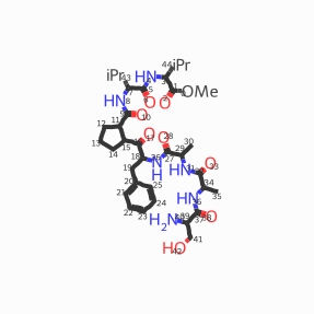 COC(=O)C(NC(=O)C(NC(=O)C1CCCC1C(=O)C(Cc1ccccc1)NC(=O)C(C)NC(=O)C(C)NC(=O)C(N)CO)C(C)C)C(C)C